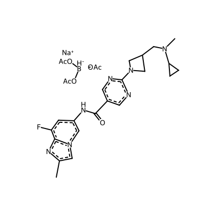 CC(=O)O[BH-](OC(C)=O)OC(C)=O.Cc1cn2cc(NC(=O)c3cnc(N4CC(CN(C)C5CC5)C4)nc3)cc(F)c2n1.[Na+]